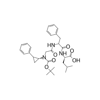 CC(C)C[C@@H](NC(=O)C(Cc1ccccc1)NC(=O)CN(C(=O)OC(C)(C)C)[C@H]1CC1c1ccccc1)C(=O)O